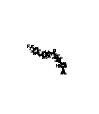 O=C(N1CC2(CCC(Cc3cnc(C(F)(F)F)cn3)CC2)C1)N1CC2(CC(c3nnc(C4CC4)[nH]3)C2)C1